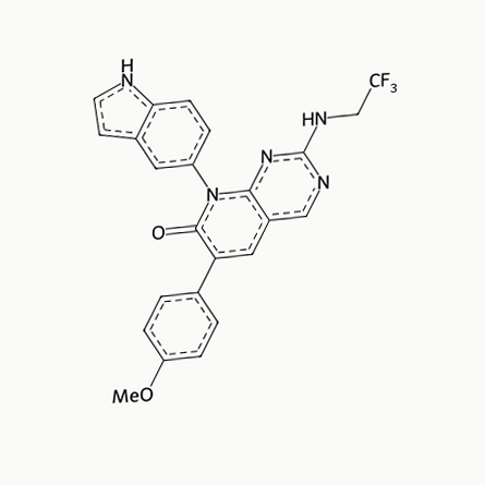 COc1ccc(-c2cc3cnc(NCC(F)(F)F)nc3n(-c3ccc4[nH]ccc4c3)c2=O)cc1